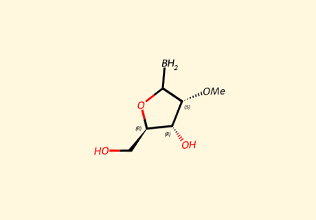 BC1O[C@H](CO)[C@@H](O)[C@H]1OC